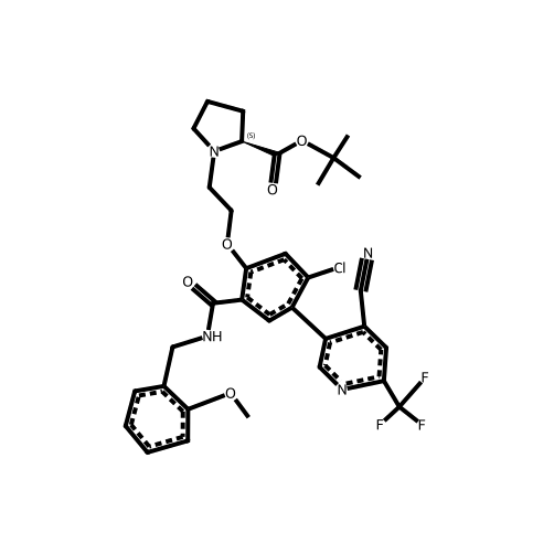 COc1ccccc1CNC(=O)c1cc(-c2cnc(C(F)(F)F)cc2C#N)c(Cl)cc1OCCN1CCC[C@H]1C(=O)OC(C)(C)C